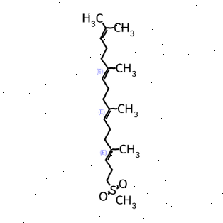 CC(C)=CCC/C(C)=C/CC/C(C)=C/CC/C(C)=C/CCS(C)(=O)=O